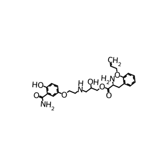 C=CCOc1ccccc1C[C@H](N)C(=O)OCC(O)CNCCOc1ccc(O)c(C(N)=O)c1